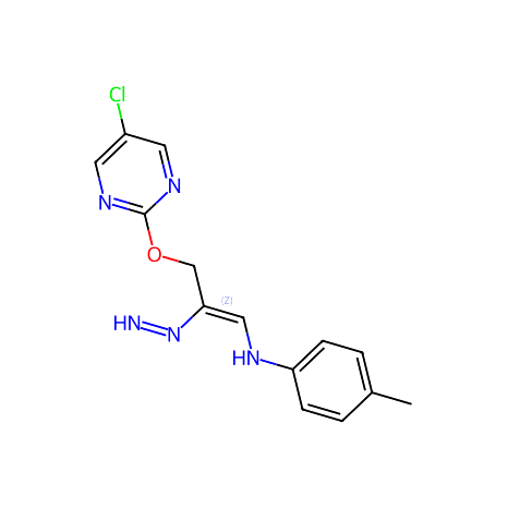 Cc1ccc(N/C=C(/COc2ncc(Cl)cn2)N=N)cc1